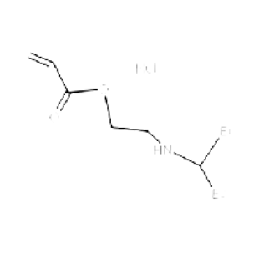 C=CC(=O)OCCNC(CC)CC.Cl